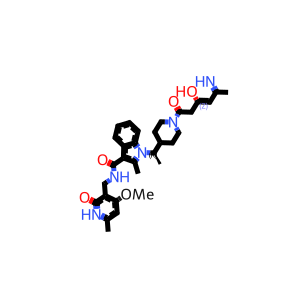 COc1cc(C)[nH]c(=O)c1CNC(=O)c1c(C)n([C@H](C)C2CCN(C(=O)C/C(O)=C/C(C)=N)CC2)c2ccccc12